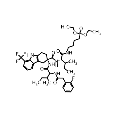 CCOP(=O)(CCCCNC(=O)[C@@H](NC(=O)[C@@]1(NC(=O)[C@@H](NC(=O)Cc2ccccc2F)C(C)CC)CCc2[nH]c3c(C(F)(F)F)cccc3c2C1)C(C)CC)OCC